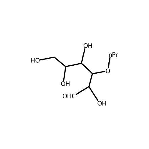 CCCOC(C(O)C=O)C(O)C(O)CO